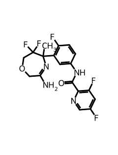 CC1(c2cc(NC(=O)c3ncc(F)cc3F)ccc2F)N=C(N)COCC1(F)F